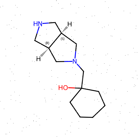 OC1(CN2C[C@H]3CNC[C@H]3C2)CCCCC1